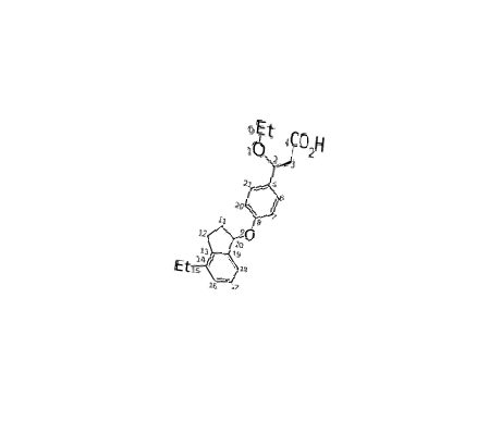 CCO[C@@H](CC(=O)O)c1ccc(OC2CCc3c(CC)cccc32)cc1